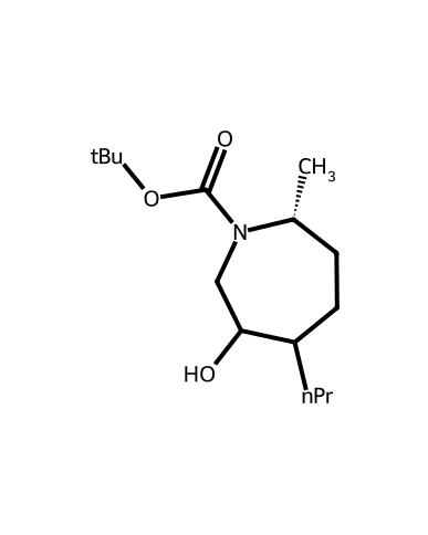 CCCC1CC[C@@H](C)N(C(=O)OC(C)(C)C)CC1O